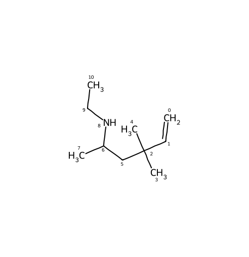 C=CC(C)(C)CC(C)NCC